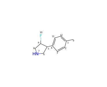 Cc1ccc(C2CNCC2F)cc1